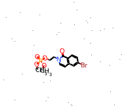 COP(=O)(OC)OCCn1ccc2cc(Br)ccc2c1=O